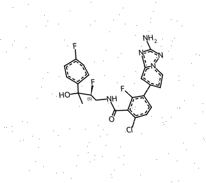 CC(O)(c1ccc(F)cc1)[C@@H](F)CNC(=O)c1c(Cl)ccc(-c2ccn3nc(N)nc3c2)c1F